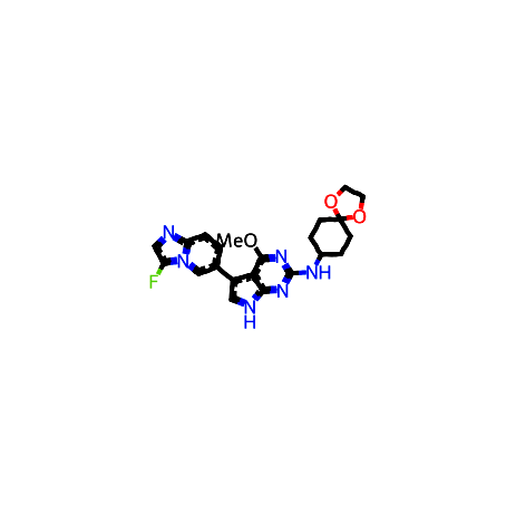 COc1nc(NC2CCC3(CC2)OCCO3)nc2[nH]cc(-c3ccc4ncc(F)n4c3)c12